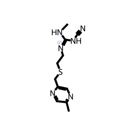 CN/C(=N/CCSCc1cnc(C)cn1)NC#N